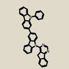 c1ccc(-n2c3ccccc3c3ccc(-c4ccc5c(c4)c4ccccc4n5-c4ncnc5c4Cc4ccccc4-5)cc32)cc1